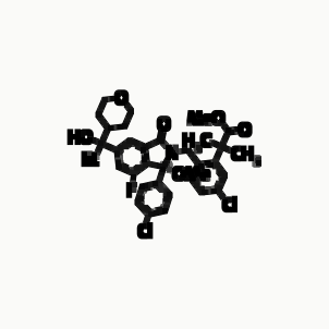 CCC(O)(c1cc(F)c2c(c1)C(=O)N(Cc1ccc(Cl)cc1C(C)(C)C(=O)OC)[C@@]2(OC)c1ccc(Cl)cc1)C1CCOCC1